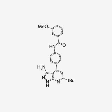 COc1cccc(C(=O)Nc2ccc(-c3cc(C(C)(C)C)nc4[nH]nc(N)c34)cc2)c1